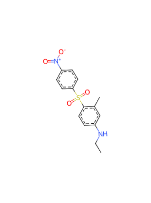 CCNc1ccc(S(=O)(=O)c2ccc([N+](=O)[O-])cc2)c(C)c1